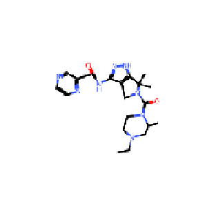 CCN1CCN(C(=O)N2Cc3c(NC(=O)c4cnccn4)n[nH]c3C2(C)C)C(C)C1